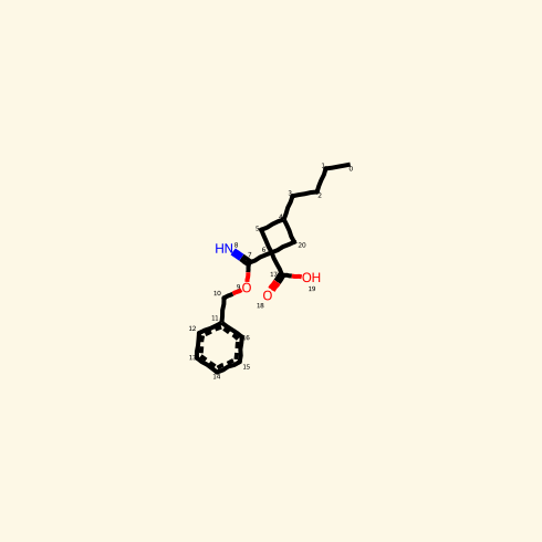 CCCCC1CC(C(=N)OCc2ccccc2)(C(=O)O)C1